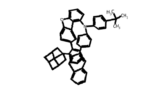 CC(C)(C)c1ccc(N(c2ccc(-c3ccc4ccccc4c3)cc2)c2cccc3oc4ccc(-c5ccccc5C56CC7CC8CC(C5)C876)cc4c23)cc1